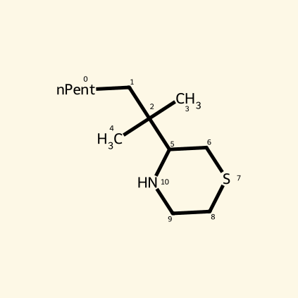 CCCCCCC(C)(C)C1CSCCN1